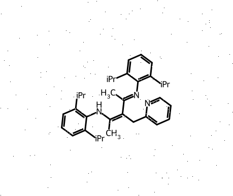 C/C(Nc1c(C(C)C)cccc1C(C)C)=C(Cc1ccccn1)/C(C)=N/c1c(C(C)C)cccc1C(C)C